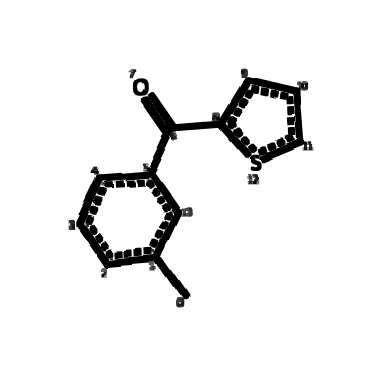 Cc1cccc(C(=O)c2cccs2)c1